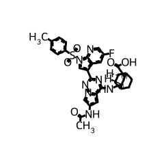 CC(=O)Nc1cc2c(N[C@H]3C4CCC(CC4)[C@@H]3C(=O)O)nc(-c3cn(S(=O)(=O)c4ccc(C)cc4)c4ncc(F)cc34)nn2c1